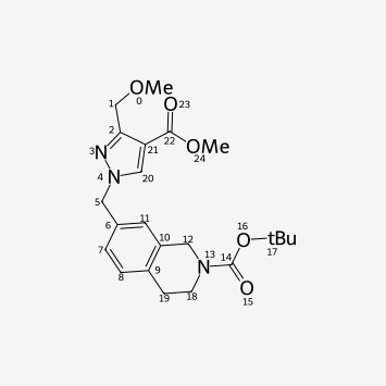 COCc1nn(Cc2ccc3c(c2)CN(C(=O)OC(C)(C)C)CC3)cc1C(=O)OC